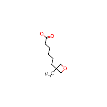 CC1(CCCCCC([O])=O)COC1